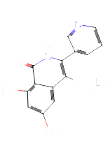 CCOC(=O)c1c(-c2cccnc2)[nH]c(=O)c2c(O)cc(O)cc12